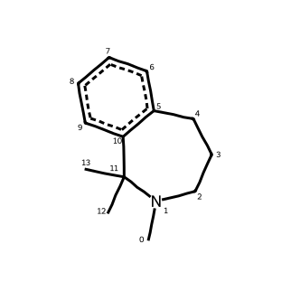 CN1CCCc2ccccc2C1(C)C